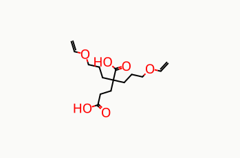 C=COCCCC(CCCOC=C)(CCC(=O)O)C(=O)O